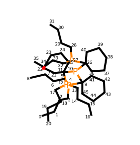 CCCCP(CCCC)C1(P(C2(P(CCCC)CCCC)CCCCC2)C2(P(CCCC)CCCC)CCCCC2)CCCCC1